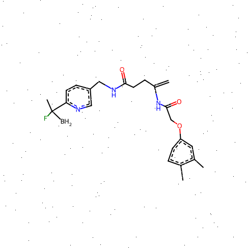 BC(C)(F)c1ccc(CNC(=O)CCC(=C)NC(=O)COc2ccc(C)c(C)c2)cn1